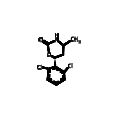 CC1C[C@H](c2c(Cl)cccc2Cl)OC(=O)N1